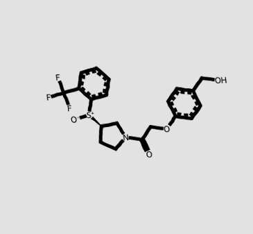 O=C(COc1ccc(CO)cc1)N1CC[C@@H]([S+]([O-])c2ccccc2C(F)(F)F)C1